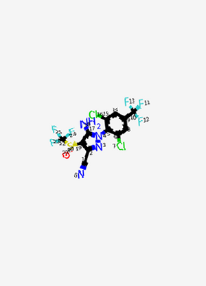 N#Cc1nn(-c2c(Cl)cc(C(F)(F)F)cc2Cl)c(N)c1[S@+]([O-])C(F)(F)F